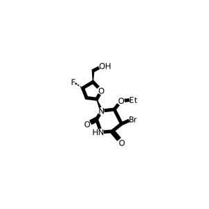 CCOC1C(Br)C(=O)NC(=O)N1[C@H]1C[C@H](F)[C@@H](CO)O1